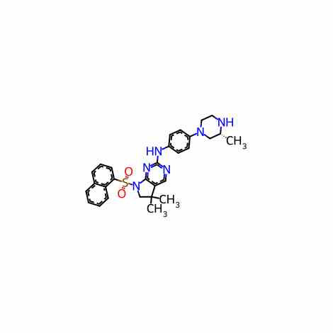 C[C@@H]1CN(c2ccc(Nc3ncc4c(n3)N(S(=O)(=O)c3cccc5ccccc35)CC4(C)C)cc2)CCN1